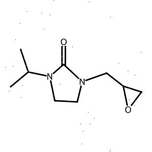 CC(C)N1CCN(CC2CO2)C1=O